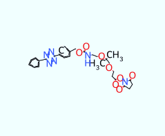 CC(C)(COCCC(=O)ON1C(=O)CCC1=O)OCCNC(=O)OCc1ccc(-c2nnc(-c3ccccc3)nn2)cc1